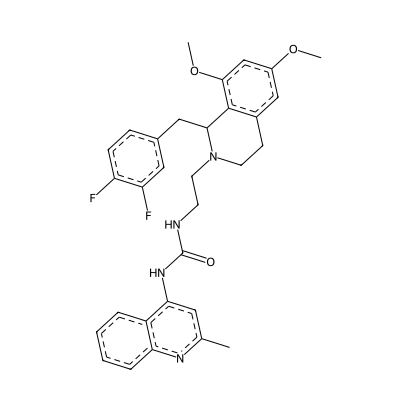 COc1cc2c(c(OC)c1)C(Cc1ccc(F)c(F)c1)N(CCNC(=O)Nc1cc(C)nc3ccccc13)CC2